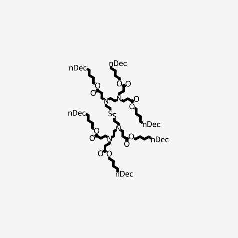 CCCCCCCCCCCCCCOC(=O)CCN(CCSSCCN(CCC(=O)OCCCCCCCCCCCCCC)CCN(CCC(=O)OCCCCCCCCCCCCCC)CCC(=O)OCCCCCCCCCCCCCC)CCN(CCC(=O)OCCCCCCCCCCCCCC)CCC(=O)OCCCCCCCCCCCCCC